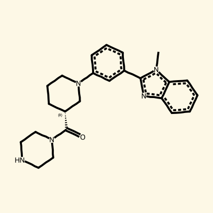 Cn1c(-c2cccc(N3CCC[C@@H](C(=O)N4CCNCC4)C3)c2)nc2ccccc21